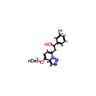 CCCCCCCCCCOc1ccc(CC(O)c2cccc(I)c2)n2nncc12